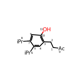 CC(=O)CCc1cc(C(C)C)c(C(C)C)cc1O